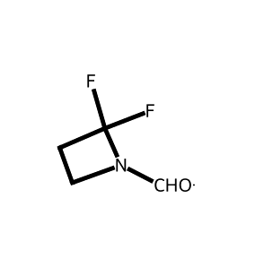 O=[C]N1CCC1(F)F